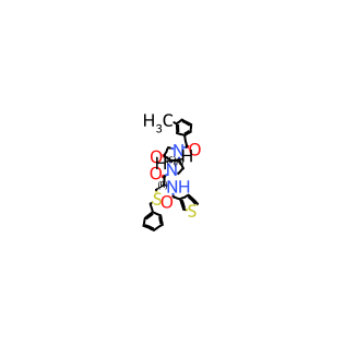 Cc1cccc(C(=O)N2CC(=O)[C@@H]3[C@H]2CCN3C(=O)[C@H](CSCc2ccccc2)NC(=O)c2ccsc2)c1